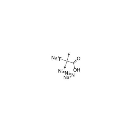 O=C(O)C(F)(F)F.[N-]=[N+]=[N-].[Na+].[Na+]